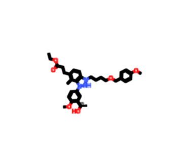 CCOC(=O)CCc1ccc2c(c1C)N(c1ccc(OC)c([C@@H](C)O)c1)NN2CCCCOCc1ccc(OC)cc1